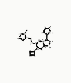 Cn1nncc1COc1nn2c(-c3ccon3)nnc2cc1C1=CC=C1